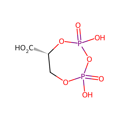 O=C(O)[C@H]1COP(=O)(O)OP(=O)(O)O1